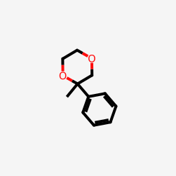 CC1(c2ccccc2)COCCO1